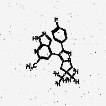 [2H]C([2H])([2H])C1(C([2H])([2H])[2H])Cc2c(-c3cc(C)nc4[nH]ncc34)c(-c3ccc(F)cc3)nn2C1